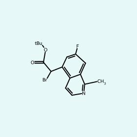 Cc1nccc2c(C(Br)C(=O)OC(C)(C)C)cc(F)cc12